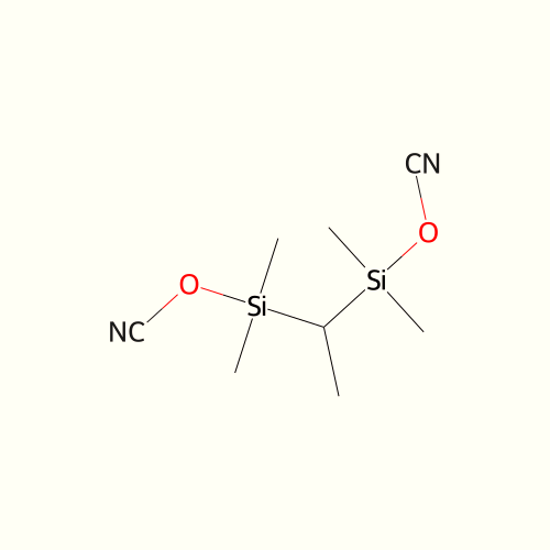 CC([Si](C)(C)OC#N)[Si](C)(C)OC#N